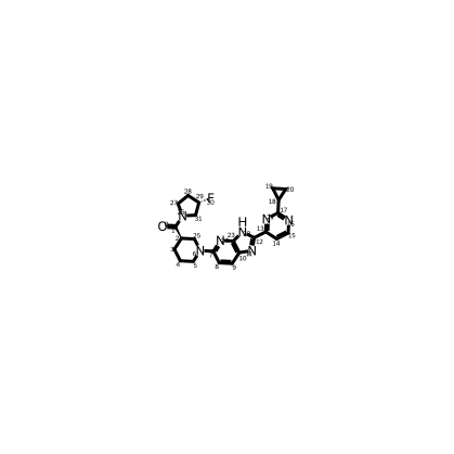 O=C([C@@H]1CCCN(c2ccc3nc(-c4ccnc(C5CC5)n4)[nH]c3n2)C1)N1CC[C@H](F)C1